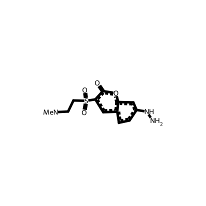 CNCCS(=O)(=O)c1cc2ccc(NN)cc2oc1=O